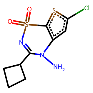 NN1C(C2CCC2)=NS(=O)(=O)c2sc(Cl)cc21